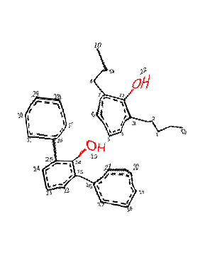 CCCc1cccc(CCC)c1O.Oc1c(-c2ccccc2)cccc1-c1ccccc1